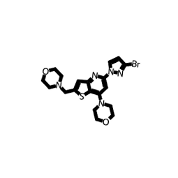 Brc1ccn(-c2cc(N3CCOCC3)c3sc(CN4CCOCC4)cc3n2)n1